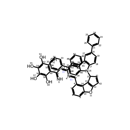 N=C(/N=C(\N=C\c1cccc2oc3c(c12)C(n1c2ccc(-c4ccccc4)cc2c2cc(-c4ccccc4)ccc21)C=C3)c1ccccc1)c1c(O)c(O)c(O)c(O)c1O